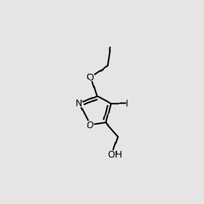 CCOc1noc(CO)c1I